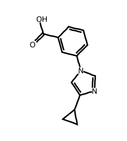 O=C(O)c1cccc(-n2cnc(C3CC3)c2)c1